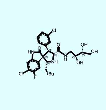 CC(C)(C)C[C@H]1N[C@@H](C(=O)NC[C@H](O)[C@H](O)CO)[C@H](c2cccc(Cl)c2)[C@@]12C(=O)Nc1cc(Cl)c(F)cc12